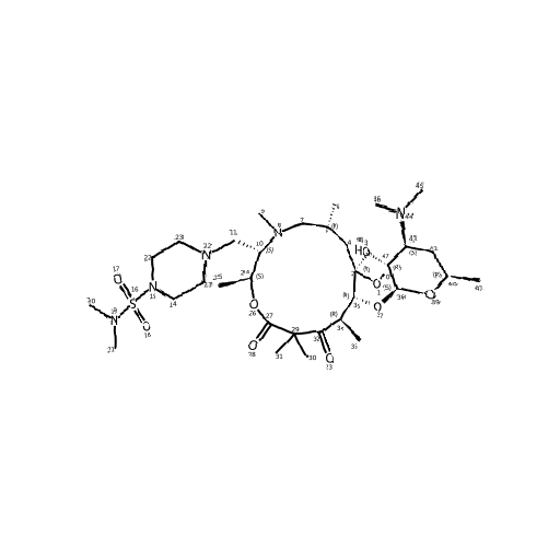 CO[C@]1(C)C[C@@H](C)CN(C)[C@@H](CN2CCN(S(=O)(=O)N(C)C)CC2)[C@H](C)OC(=O)C(C)(C)C(=O)[C@H](C)[C@H]1O[C@@H]1O[C@H](C)C[C@H](N(C)C)[C@H]1O